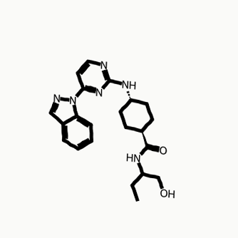 CCC(CO)NC(=O)[C@H]1CC[C@H](Nc2nccc(-n3ncc4ccccc43)n2)CC1